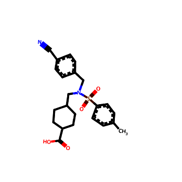 Cc1ccc(S(=O)(=O)N(Cc2ccc(C#N)cc2)CC2CCC(C(=O)O)CC2)cc1